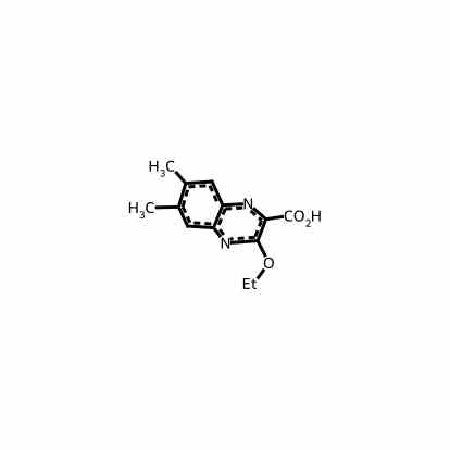 CCOc1nc2cc(C)c(C)cc2nc1C(=O)O